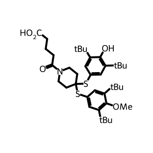 COc1c(C(C)(C)C)cc(SC2(Sc3cc(C(C)(C)C)c(O)c(C(C)(C)C)c3)CCN(C(=O)CCCC(=O)O)CC2)cc1C(C)(C)C